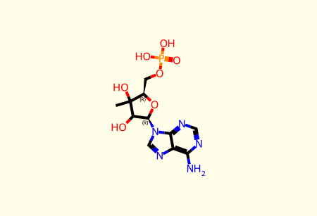 CC1(O)C(O)[C@H](n2cnc3c(N)ncnc32)O[C@@H]1COP(=O)(O)O